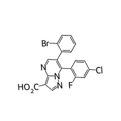 O=C(O)c1cnn2c(-c3ccc(Cl)cc3F)c(-c3ccccc3Br)cnc12